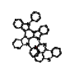 C1=CC2c3c(c4c(c5ccccc5n4-c4nc5c6c(cccc6n4)Sc4ccccc4-5)c4c3c3ccccc3n4-c3ccccc3)N(c3ccccc3)C2C=C1